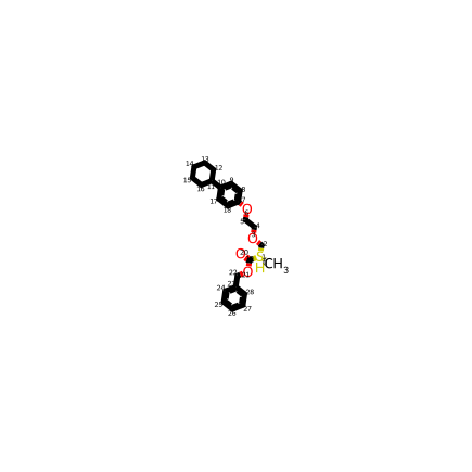 C[SH](COCCOc1ccc(C2CCCCC2)cc1)C(=O)OCc1ccccc1